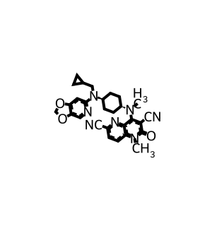 Cn1c(=O)c(C#N)c(N(C)[C@H]2CC[C@H](N(CC3CC3)c3cc4c(cn3)OCO4)CC2)c2nc(C#N)ccc21